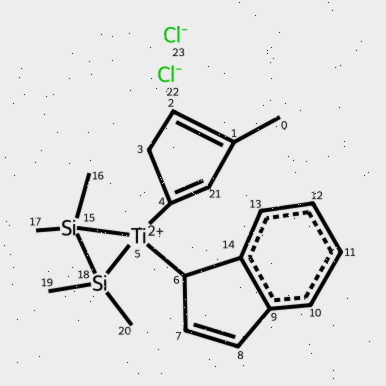 CC1=CC[C]([Ti+2]2([CH]3C=Cc4ccccc43)[Si](C)(C)[Si]2(C)C)=C1.[Cl-].[Cl-]